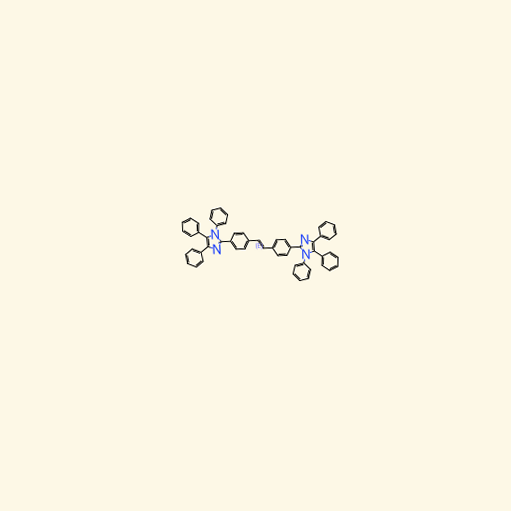 C(=C\c1ccc(-c2nc(-c3ccccc3)c(-c3ccccc3)n2-c2ccccc2)cc1)/c1ccc(-c2nc(-c3ccccc3)c(-c3ccccc3)n2-c2ccccc2)cc1